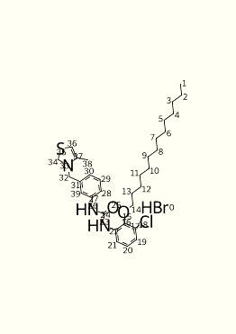 Br.CCCCCCCCCCCCCCOc1c(Cl)cccc1NC(=O)Nc1cccc(CN2CSC=C2C)c1